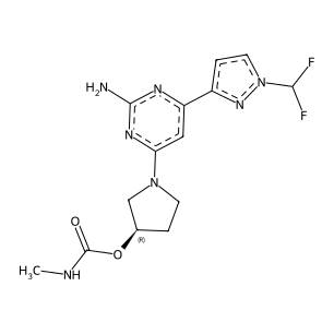 CNC(=O)O[C@@H]1CCN(c2cc(-c3ccn(C(F)F)n3)nc(N)n2)C1